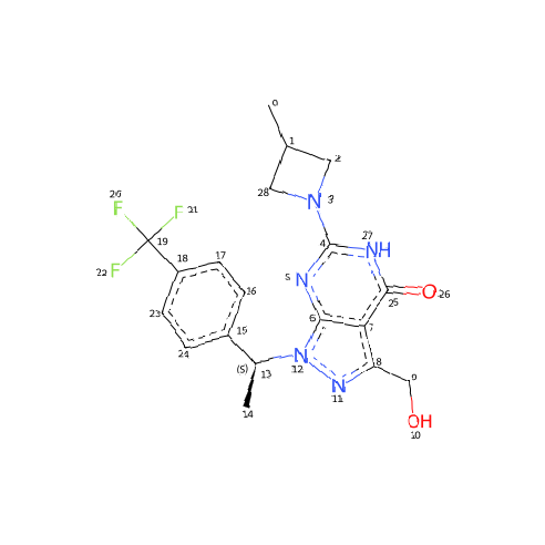 CC1CN(c2nc3c(c(CO)nn3[C@@H](C)c3ccc(C(F)(F)F)cc3)c(=O)[nH]2)C1